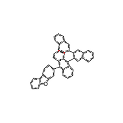 c1ccc2cc(-c3cc4ccccc4cc3-c3c4ccccc4c(-c4ccc5c(c4)oc4ccccc45)c4ccccc34)ccc2c1